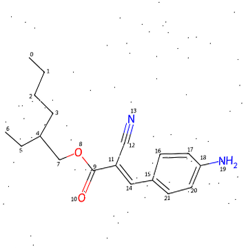 CCCCC(CC)COC(=O)/C(C#N)=C/c1ccc(N)cc1